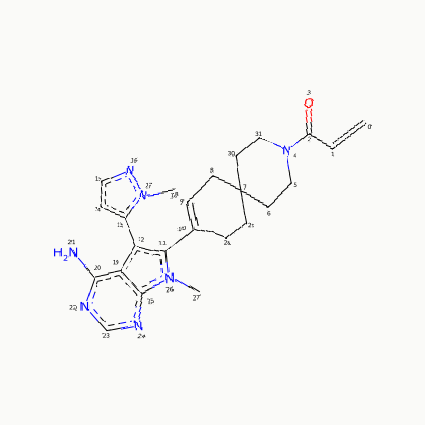 C=CC(=O)N1CCC2(CC=C(c3c(-c4ccnn4C)c4c(N)ncnc4n3C)CC2)CC1